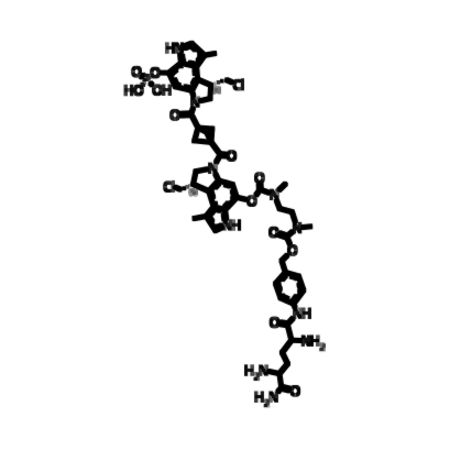 Cc1c[nH]c2c(OC(=O)N(C)CCN(C)C(=O)OCc3ccc(NC(=O)C(N)CCC(N)C(N)=O)cc3)cc3c(c12)[C@H](CCl)CN3C(=O)C12CC(C(=O)N3C[C@@H](CCl)c4c3cc(OP(=O)(O)O)c3[nH]cc(C)c43)(C1)C2